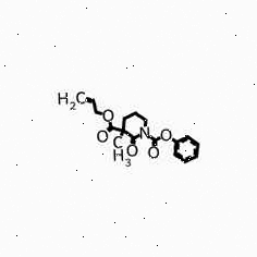 C=CCOC(=O)C1(C)CCCN(C(=O)Oc2ccccc2)C1=O